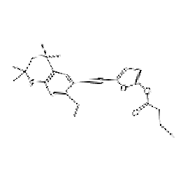 CCCC(=O)Oc1ccc(C#Cc2cc3c(cc2CC)SC(C)(C)CC3(C)C)o1